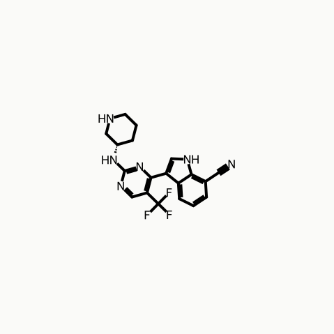 N#Cc1cccc2c(-c3nc(N[C@H]4CCCNC4)ncc3C(F)(F)F)c[nH]c12